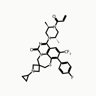 C=CC(=O)N1C[C@H](C)N(c2nc(=O)n3c4c(c(-c5ccc(F)cc5)c(C(F)(F)F)cc24)SCC2(CN(C4CC4)C2)C3)C[C@H]1C